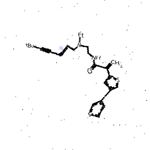 C=C(C(=O)NCCN(CC)C/C=C/C#CC(C)(C)C)c1cc(-c2ccsc2)cs1